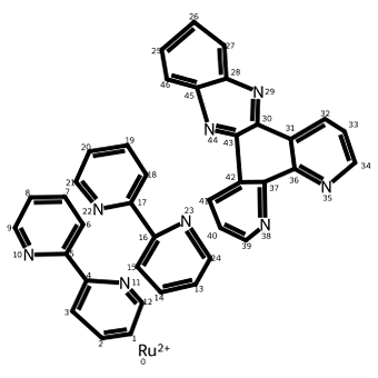 [Ru+2].c1ccc(-c2ccccn2)nc1.c1ccc(-c2ccccn2)nc1.c1ccc2nc3c4cccnc4c4ncccc4c3nc2c1